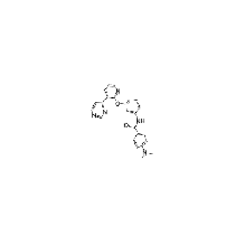 CN(C)c1ccc(C(=O)Nc2cccc(Oc3ncccc3-c3ccncn3)c2)cc1